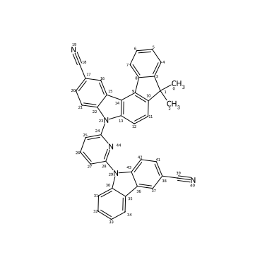 CC1(C)c2ccccc2-c2c1ccc1c2c2cc(C#N)ccc2n1-c1cccc(-n2c3ccccc3c3cc(C#N)ccc32)n1